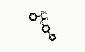 CN(C(=O)Oc1ccc(-n2cccc2)cc1)c1ccccc1